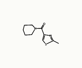 Cc1nc(C(=O)N2CCCCC2)cs1